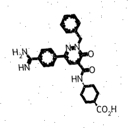 N=C(N)c1ccc(-c2cc(C(=O)N[C@H]3CC[C@H](C(=O)O)CC3)c(=O)n(Cc3ccccc3)n2)cc1